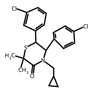 CC1(C)SC(c2cccc(Cl)c2)C(c2ccc(Cl)cc2)N(CC2CC2)C1=O